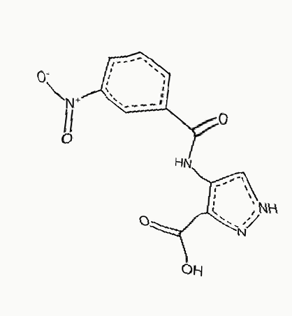 O=C(Nc1c[nH]nc1C(=O)O)c1cccc([N+](=O)[O-])c1